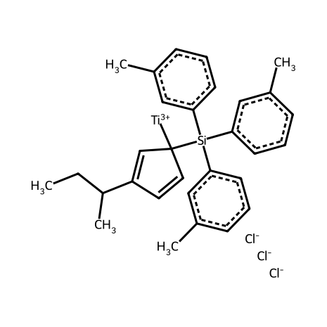 CCC(C)C1=C[C]([Ti+3])([Si](c2cccc(C)c2)(c2cccc(C)c2)c2cccc(C)c2)C=C1.[Cl-].[Cl-].[Cl-]